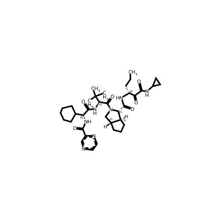 CCC[C@@H](NC(=O)[C@@H]1[C@H]2CCC[C@@H]2CN1C(=O)[C@@H](NC(=O)[C@H](NC(=O)c1cnccn1)C1CCCCC1)C(C)(C)C)C(=O)C(=O)NC1CC1